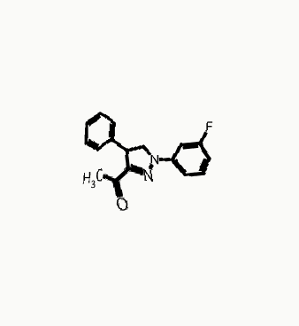 CC(=O)C1=NN(c2cccc(F)c2)CC1c1ccccc1